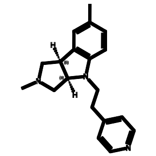 Cc1ccc2c(c1)[C@@H]1CN(C)C[C@@H]1N2CCc1ccncc1